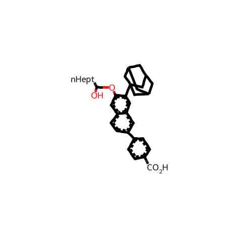 CCCCCCCC(O)Oc1cc2ccc(-c3ccc(C(=O)O)cc3)cc2cc1C12CC3CC(CC(C3)C1)C2